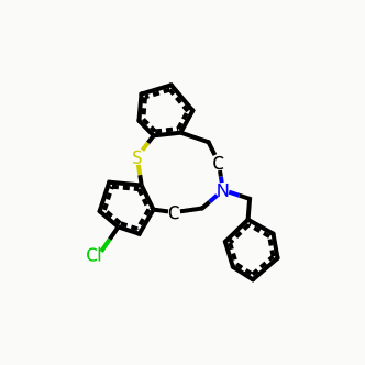 Clc1ccc2c(c1)CCN(Cc1ccccc1)CCc1ccccc1S2